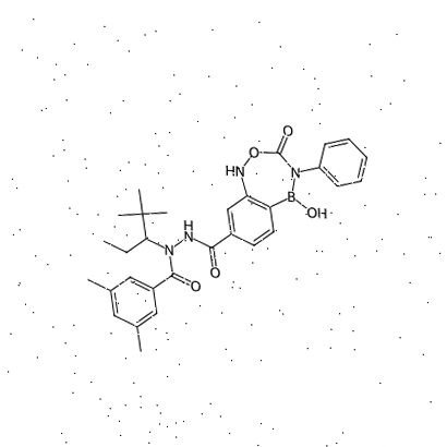 CCC(N(NC(=O)c1ccc2c(c1)NOC(=O)N(c1ccccc1)B2O)C(=O)c1cc(C)cc(C)c1)C(C)(C)C